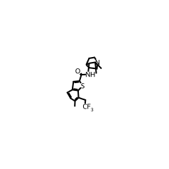 Cc1ccc2cc(C(=O)NC3C4CCN(CC4)C3(C)C)sc2c1CC(F)(F)F